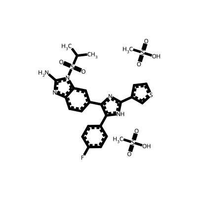 CC(C)S(=O)(=O)n1c(N)nc2ccc(-c3nc(-c4ccsc4)[nH]c3-c3ccc(F)cc3)cc21.CS(=O)(=O)O.CS(=O)(=O)O